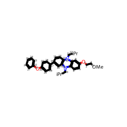 COCCOc1ccc2c(c1)N(CC(C)C)c1ccc(-c3ccc(Oc4ccccc4)cc3)cc1N2CC(C)C